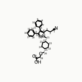 N#CCCc1c(-c2ccccc2)c(-c2ccccc2)nn1C[C@H]1CC[C@@H](COCC(=O)O)CC1